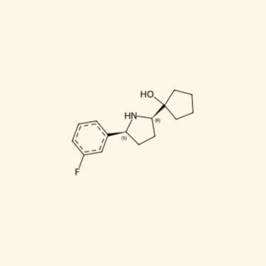 OC1([C@H]2CC[C@@H](c3cccc(F)c3)N2)CCCC1